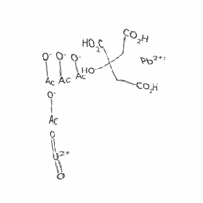 CC(=O)[O-].CC(=O)[O-].CC(=O)[O-].CC(=O)[O-].O=C(O)CC(O)(CC(=O)O)C(=O)O.[O]=[U+2]=[O].[Pb+2]